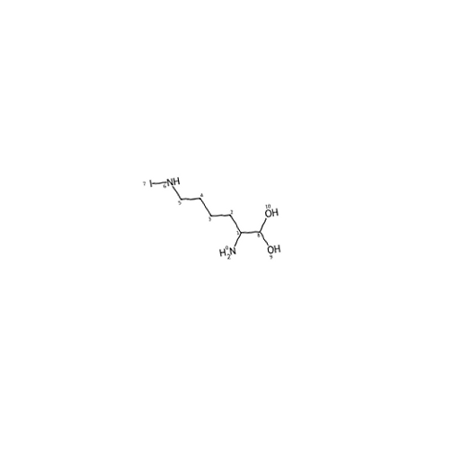 NC(CCCCNI)C(O)O